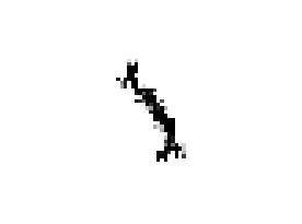 N#CC(C#N)=CCc1cc2sc3c(sc4c3sc3c5sc6cc(CC=C(C#N)C#N)sc6c5sc34)c2s1